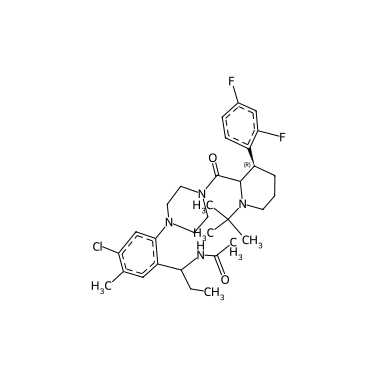 CCC(NC(C)=O)c1cc(C)c(Cl)cc1N1CCN(C(=O)C2[C@@H](c3ccc(F)cc3F)CCCN2C(C)(C)C)CC1